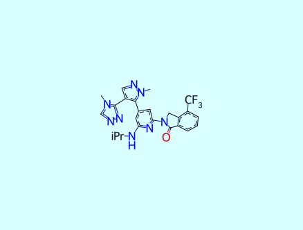 CC(C)Nc1cc(-c2c(-c3nncn3C)cnn2C)cc(N2Cc3c(cccc3C(F)(F)F)C2=O)n1